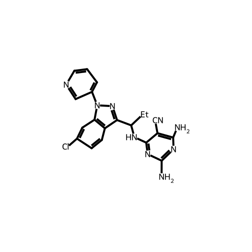 CCC(Nc1nc(N)nc(N)c1C#N)c1nn(-c2cccnc2)c2cc(Cl)ccc12